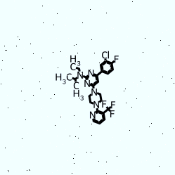 CCN(c1nc(-c2ccc(F)c(Cl)c2)cc(N2CCN(c3ncccc3C(F)(F)F)CC2)n1)C(C)C